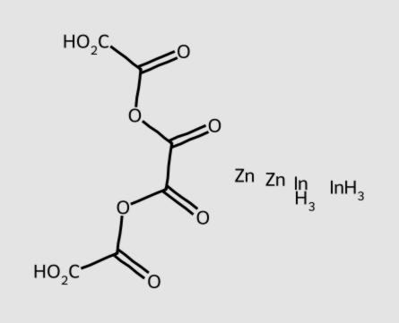 O=C(O)C(=O)OC(=O)C(=O)OC(=O)C(=O)O.[InH3].[InH3].[Zn].[Zn]